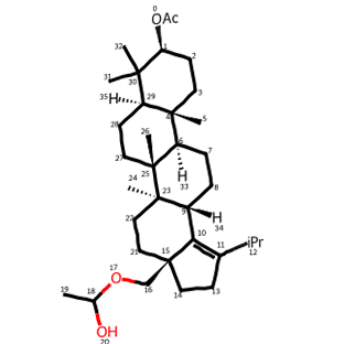 CC(=O)O[C@H]1CC[C@]2(C)[C@H]3CC[C@@H]4C5=C(C(C)C)CC[C@]5(COC(C)O)CC[C@@]4(C)[C@]3(C)CC[C@H]2C1(C)C